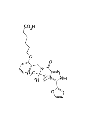 [2H]C(C)(C)N(Cc1ccccc1OCCCCCC(=O)O)C(=O)c1n[nH]c(-c2ccco2)c1F